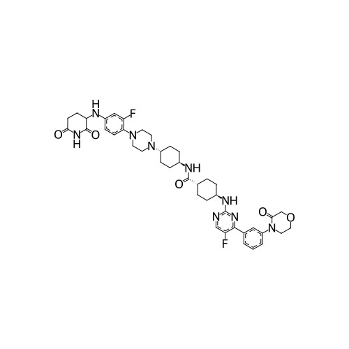 O=C1CCC(Nc2ccc(N3CCN([C@H]4CC[C@H](NC(=O)[C@H]5CC[C@H](Nc6ncc(F)c(-c7cccc(N8CCOCC8=O)c7)n6)CC5)CC4)CC3)c(F)c2)C(=O)N1